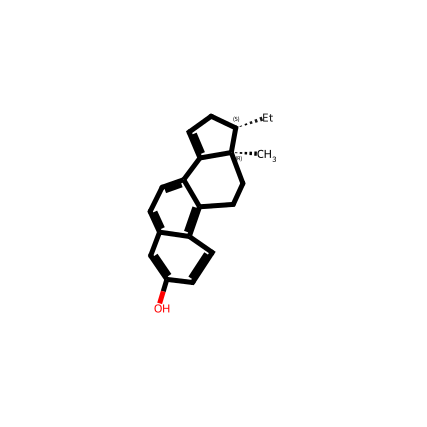 CC[C@H]1CC=C2c3ccc4cc(O)ccc4c3CC[C@@]21C